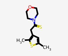 Cc1cc(CC(=S)N2CCOCC2)c(C)s1